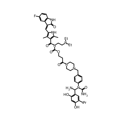 CCN(CC)CCN(C(=O)OCCC(=O)N1CCN(Cc2ccc(N(C(N)=O)C(N)c3cc(C(C)C)c(O)cc3O)cc2)CC1)C(=O)c1c(C)[nH]c(/C=C2\C(=O)Nc3ccc(F)cc32)c1C